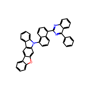 c1ccc(-c2nc(-c3cccc4c(-n5c6ccccc6c6cc7c(cc65)oc5ccccc57)cccc34)nc3ccccc23)cc1